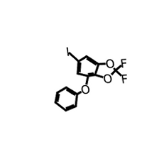 FC1(F)Oc2cc(I)cc(Oc3ccccc3)c2O1